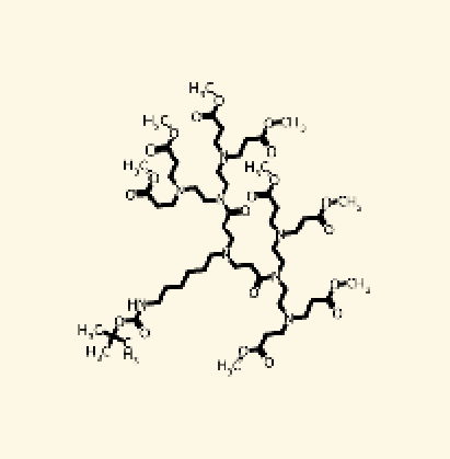 COC(=O)CCN(CCC(=O)OC)CCN(CCN(CCC(=O)OC)CCC(=O)OC)C(=O)CCN(CCCCCCNC(=O)OC(C)(C)C)CCC(=O)N(CCN(CCC(=O)OC)CCC(=O)OC)CCN(CCC(=O)OC)CCC(=O)OC